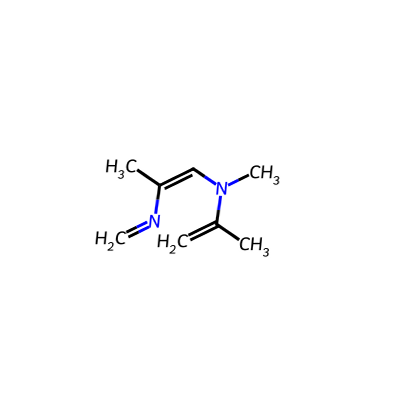 C=N/C(C)=C\N(C)C(=C)C